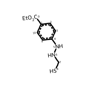 CCOC(=O)c1ccc(NNCS)cc1